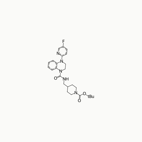 CC(C)(C)OC(=O)N1CCC(CNC(=O)N2CCN(c3ccc(F)cn3)c3ccccc32)CC1